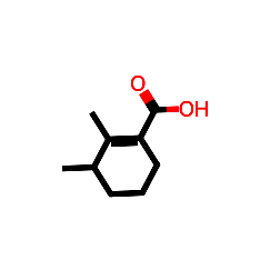 CC1=C(C(=O)O)CCCC1C